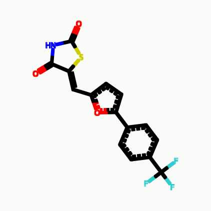 O=C1NC(=O)C(=Cc2ccc(-c3ccc(C(F)(F)F)cc3)o2)S1